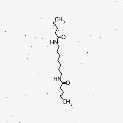 CSCCC(=O)NCCCCCCCNC(=O)CCSC